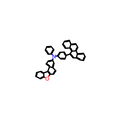 c1ccc(N(c2ccc(-c3cc4ccccc4c4ccc5ccccc5c34)cc2)c2ccc3c(ccc4oc5ccccc5c43)c2)cc1